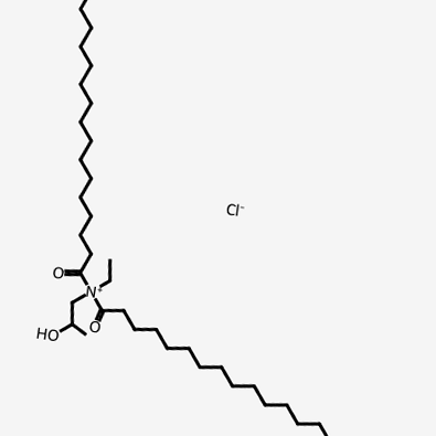 CCCCCCCCCCCCCCCC(=O)[N+](CC)(CC(C)O)C(=O)CCCCCCCCCCCCCCC.[Cl-]